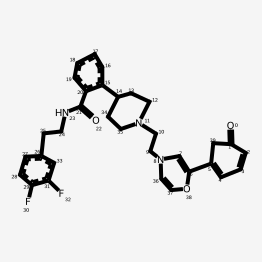 O=C1C=CC=C(C2=CN(CCN3CCC(c4ccccc4C(=O)NCCc4ccc(F)c(F)c4)CC3)C=CO2)C1